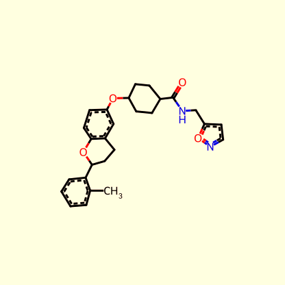 Cc1ccccc1C1CCc2cc(OC3CCC(C(=O)NCc4ccno4)CC3)ccc2O1